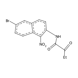 CCC(=O)C(=O)Nc1ccc2cc(Br)ccc2c1[N+](=O)[O-]